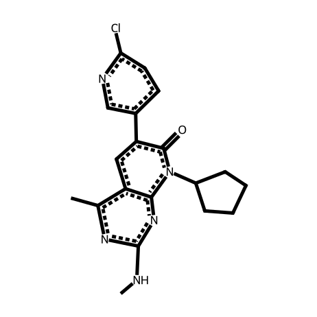 CNc1nc(C)c2cc(-c3ccc(Cl)nc3)c(=O)n(C3CCCC3)c2n1